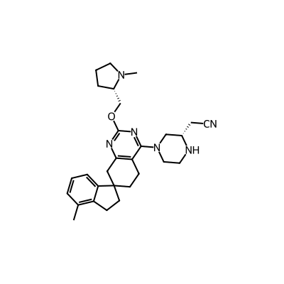 Cc1cccc2c1CCC21CCc2c(nc(OC[C@@H]3CCCN3C)nc2N2CCN[C@@H](CC#N)C2)C1